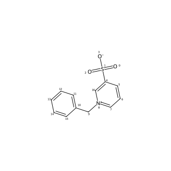 O=S(=O)([O-])c1ccc[n+](Cc2ccccc2)c1